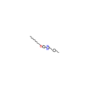 CCCCCCCCCCCCOc1ccc(-c2ncc(CCC3CCC(CCC)CC3)cn2)cc1